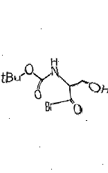 CC(C)(C)OC(=O)NC(CO)C(=O)Br